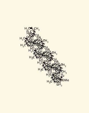 C=C[Si](C)(C)O[Si](C)(C)O[Si](C)(C)O[Si](C)(C)O[Si](C)(C)O[Si](C)(C)O[Si](C)(C)O[Si](C)(C)O[Si](C)(C)O[Si](C)(C)O[Si](C)(C)O[Si](C)(C)O[Si](C)(C)O[Si](C)(C)O[Si](C)(C)O[Si](C)(C)O[Si](C)(C)O[Si](C)(C)O[Si](C)(C)O[Si](C)(C)O[Si](C)(C)O[Si](C)(C)O[Si](C)(C)O[Si](C)(C)O[Si](C)(C)O[Si](C)(C)O[Si](C)(C)O[Si](C)(C)O[Si](C)(C)O[Si](C)(C)O[Si](C)(C)OC